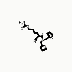 N#CC(CCCCOC(N)=O)C(=O)N(Cc1cccs1)Cc1cccs1